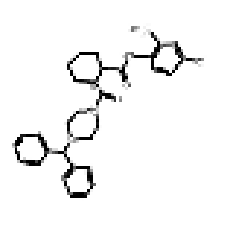 O=C(O)c1cc(Cl)ccc1NC(=O)C1CCCC[C@@H]1C(=O)N1CCN(C(c2ccccc2)c2ccccc2)CC1